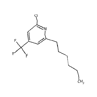 CCCCCCc1cc(C(F)(F)F)cc(Cl)n1